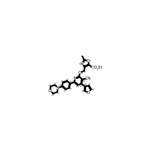 CCOC(=O)c1oc(C)nc1COc1nc(-c2ccc(N3CCOCC3)cc2)cc(-c2ccoc2)c1C#N